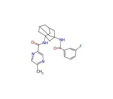 Cc1cnc(C(=O)NC23CC4CC(CC(NC(=O)c5cccc(F)c5)(C4)C2)C3)cn1